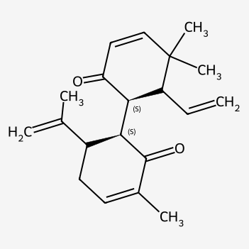 C=CC1[C@@H]([C@H]2C(=O)C(C)=CCC2C(=C)C)C(=O)C=CC1(C)C